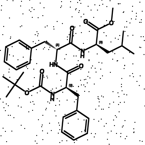 COC(=O)[C@@H](CC(C)C)NC(=O)[C@@H](Cc1ccccc1)NC(=O)[C@@H](Cc1ccccc1)NC(=O)OC(C)(C)C